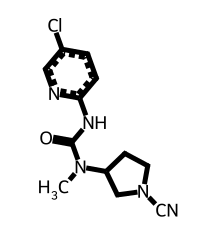 CN(C(=O)Nc1ccc(Cl)cn1)C1CCN(C#N)C1